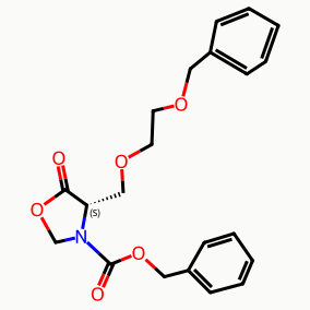 O=C1OCN(C(=O)OCc2ccccc2)[C@H]1COCCOCc1ccccc1